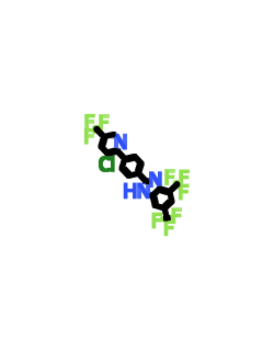 FC(F)(F)c1cnc(-c2ccc(-c3nc4c(C(F)(F)F)cc(C(F)(F)F)cc4[nH]3)cc2)c(Cl)c1